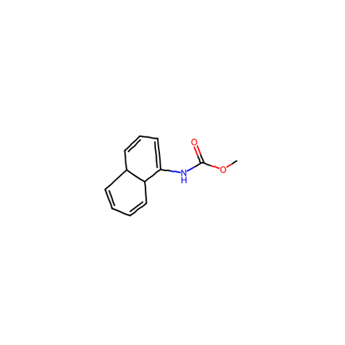 COC(=O)NC1=CC=CC2C=CC=CC12